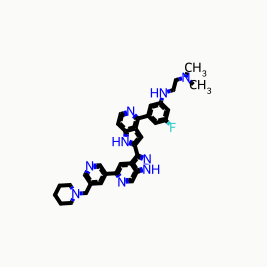 CN(C)CCNc1cc(F)cc(-c2nccc3[nH]c(-c4n[nH]c5cnc(-c6cncc(CN7CCCCC7)c6)cc45)cc23)c1